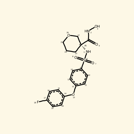 O=C(NO)[C@@]1(NS(=O)(=O)c2ccc(Oc3ccc(F)cc3)cc2)CCCOC1